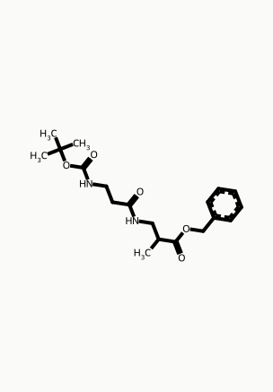 CC(CNC(=O)CCNC(=O)OC(C)(C)C)C(=O)OCc1ccccc1